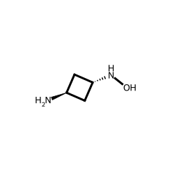 N[C@H]1C[C@H](NO)C1